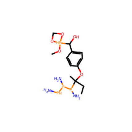 CCC(C)(Oc1ccc(C(O)[PH]2(OC)OCO2)cc1)P(N)P(N)PN